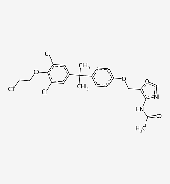 CC(=O)Nc1ncoc1COc1ccc(C(C)(C)c2cc(Cl)c(OCCCl)c(Cl)c2)cc1